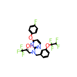 O[C@H](CN(Cc1cccc(OC(F)(F)C(F)F)c1)c1nccc(Oc2ccc(F)cc2)n1)C(F)(F)F